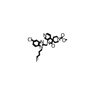 COC(=O)N1CCC2(CC1)C(=O)N(Cc1nc3cc(Cl)ccc3n1CCCCF)c1cnccc12